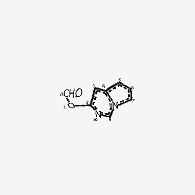 O=COc1cc2cccn2cn1